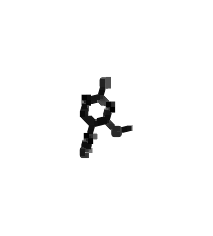 [C-]#[N+]c1cnc(Cl)nc1OC